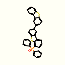 O=P(c1ccccc1)(c1ccccc1)c1cccc2c1sc1ccc(-c3ccc4sc5ccccc5c4c3)cc12